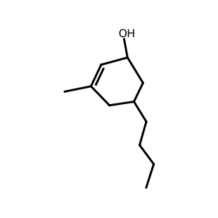 CCCCC1CC(C)=CC(O)C1